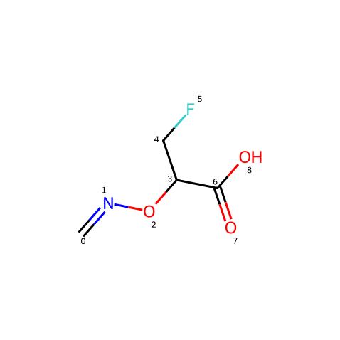 C=NOC(CF)C(=O)O